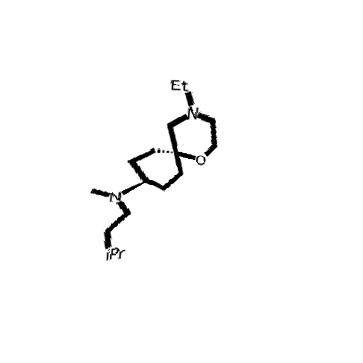 CCN1CCO[C@]2(CC[C@H](N(C)CCC(C)C)CC2)C1